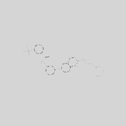 Cc1ccc(NC(=O)c2cccc(C(F)(F)F)c2)cc1-c1ccc2nc(NCCN3CCCCC3)ncc2c1